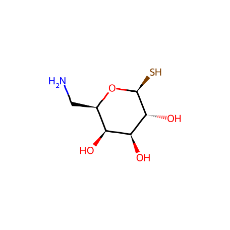 NC[C@H]1O[C@@H](S)[C@H](O)[C@@H](O)[C@H]1O